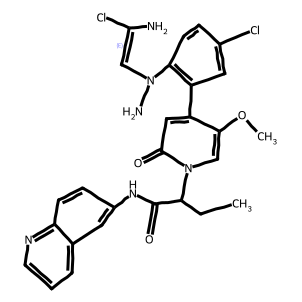 CCC(C(=O)Nc1ccc2ncccc2c1)n1cc(OC)c(-c2cc(Cl)ccc2N(N)/C=C(\N)Cl)cc1=O